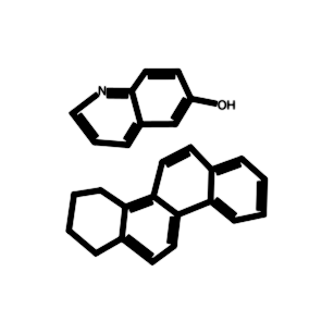 Oc1ccc2ncccc2c1.c1ccc2c(c1)ccc1c3c(ccc12)CCCC3